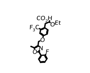 CCOC(Cc1ccc(OCc2nc(-c3ccccc3F)oc2C)cc1C(F)(F)F)C(=O)O